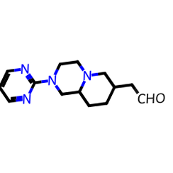 O=CCC1CCC2CN(c3ncccn3)CCN2C1